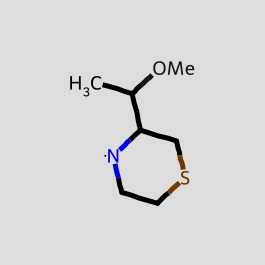 COC(C)C1CSCC[N]1